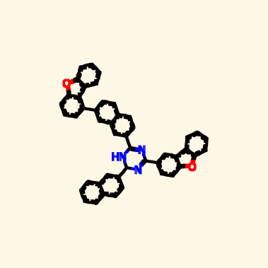 c1ccc2cc(C3N=C(c4ccc5oc6ccccc6c5c4)N=C(c4ccc5ccc(-c6cccc7oc8ccccc8c67)cc5c4)N3)ccc2c1